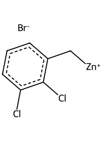 Clc1cccc([CH2][Zn+])c1Cl.[Br-]